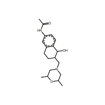 CC(=O)Nc1ccc2c(c1)CCC(CN1CC(C)OC(C)C1)C2O